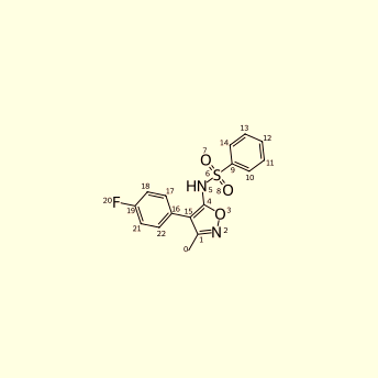 Cc1noc(NS(=O)(=O)c2ccccc2)c1-c1ccc(F)cc1